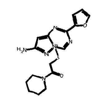 NC1=N[N+]2(SCC(=O)N3CCCCC3)C=NC(c3ccco3)=NC2=C1